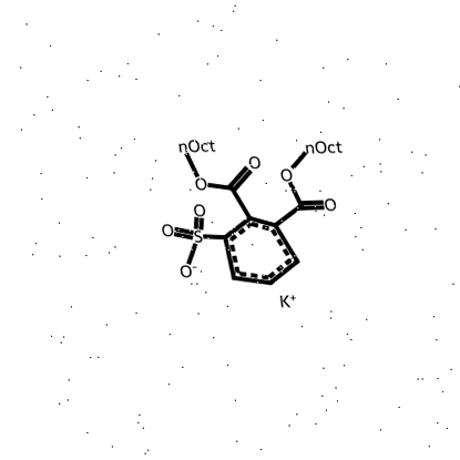 CCCCCCCCOC(=O)c1cccc(S(=O)(=O)[O-])c1C(=O)OCCCCCCCC.[K+]